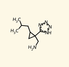 CC(C)CC1CC1(CN)c1nnn[nH]1